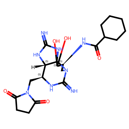 N=C1N[C@H]2[C@H](CN3C(=O)CCC3=O)NC(=N)N3C[C@H](NC(=O)C4CCCCC4)C(O)(O)[C@]23N1